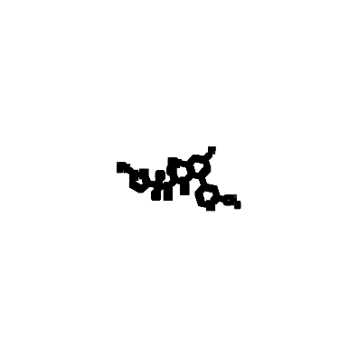 CC(C)c1cc(F)cc(-c2ccnc(C(F)(F)F)c2)c1NC(=O)NS(=O)(=O)c1ccn(C(C)C)n1